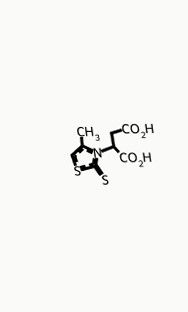 Cc1csc(=S)n1C(CC(=O)O)C(=O)O